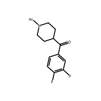 CC(=O)N1CCC(C(=O)c2ccc(F)c(F)c2)CC1